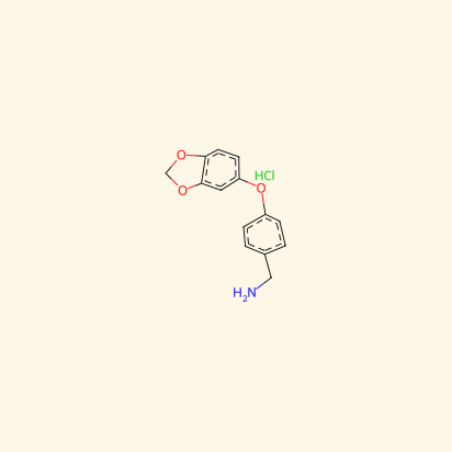 Cl.NCc1ccc(Oc2ccc3c(c2)OCO3)cc1